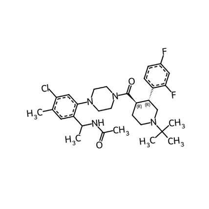 CC(=O)NC(C)c1cc(C)c(Cl)cc1N1CCN(C(=O)[C@@H]2CCN(C(C)(C)C)C[C@H]2c2ccc(F)cc2F)CC1